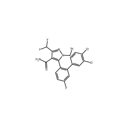 [2H]Cn1nc(C(F)F)c(C(N)=O)c1-c1ccc(F)cc1-c1ccc(Cl)c(Cl)c1